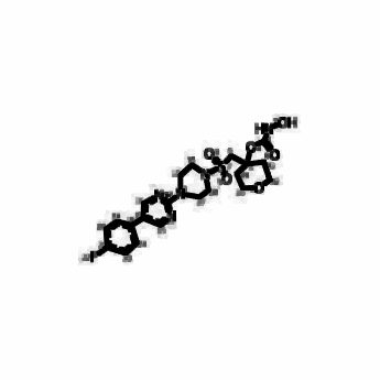 O=C(NO)OC1(CS(=O)(=O)N2CCN(c3ncc(-c4ccc(F)cc4)cn3)CC2)CCOCC1